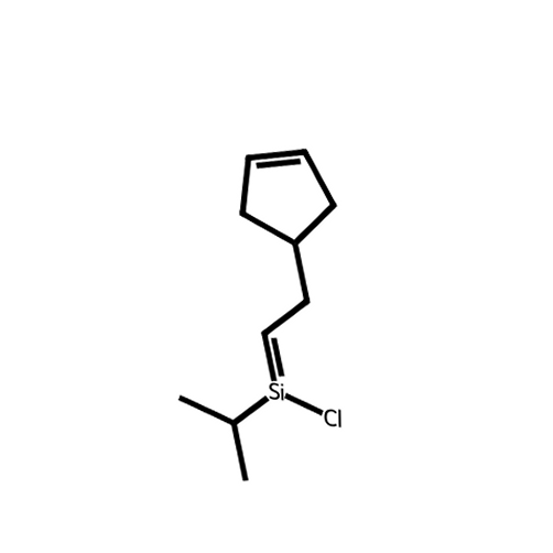 CC(C)[Si](Cl)=CCC1CC=CC1